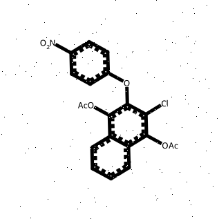 CC(=O)Oc1c(Cl)c(Oc2ccc([N+](=O)[O-])cc2)c(OC(C)=O)c2ccccc12